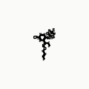 C/C=C/CO/N=C(\CC)c1cc(Cl)ccc1NS(=O)(=O)C(F)(F)F